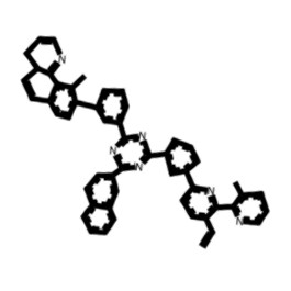 C=Cc1ccc(-c2cccc(-c3nc(-c4cccc(-c5ccc6c(c5C)C5=NC=CCC5C=C6)c4)nc(-c4ccc5ccccc5c4)n3)c2)nc1-c1ncccc1C